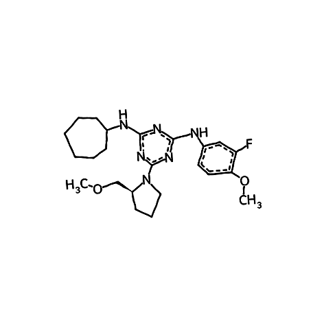 COC[C@@H]1CCCN1c1nc(Nc2ccc(OC)c(F)c2)nc(NC2CCCCCC2)n1